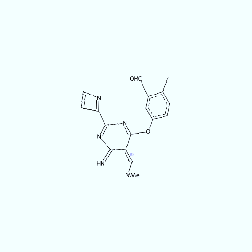 CN/C=C1\C(=N)N=C(C2=NC=C2)N=C1Oc1ccc(C)c(C=O)c1